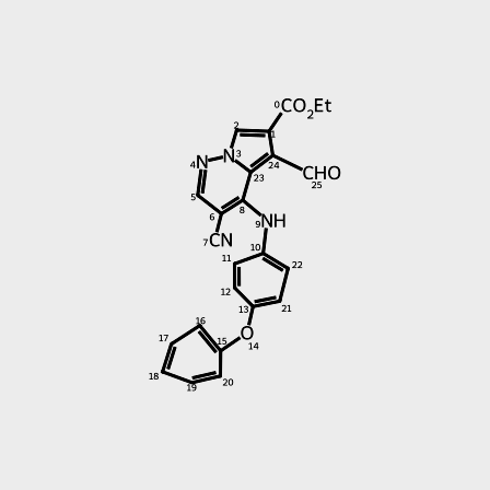 CCOC(=O)c1cn2ncc(C#N)c(Nc3ccc(Oc4ccccc4)cc3)c2c1C=O